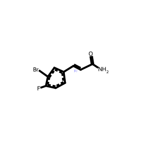 NC(=O)/C=C/c1ccc(F)c(Br)c1